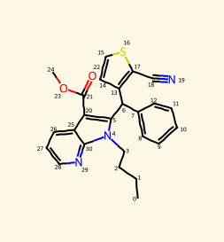 CCCCn1c(C(c2ccccc2)c2ccsc2C#N)c(C(=O)OC)c2cccnc21